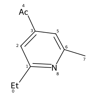 CCc1cc(C(C)=O)cc(C)n1